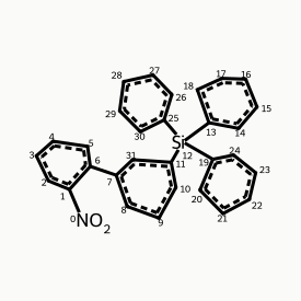 O=[N+]([O-])c1ccccc1-c1cccc([Si](c2ccccc2)(c2ccccc2)c2ccccc2)c1